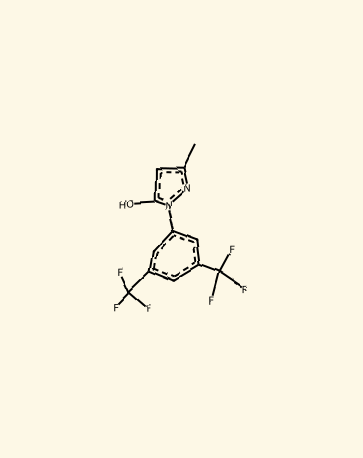 Cc1cc(O)n(-c2cc(C(F)(F)F)cc(C(F)(F)F)c2)n1